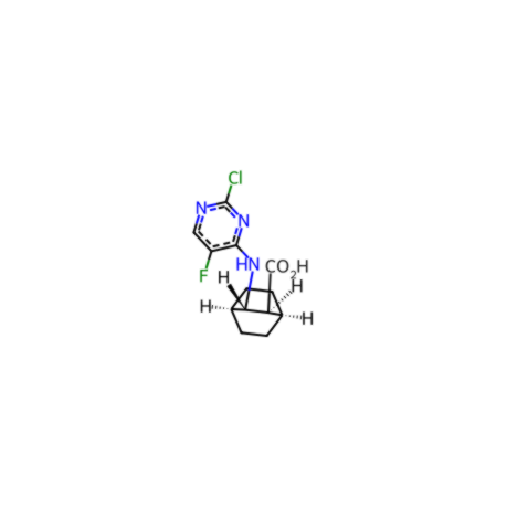 O=C(O)[C@H]1[C@H]2CC[C@H](CC2)[C@@H]1Nc1nc(Cl)ncc1F